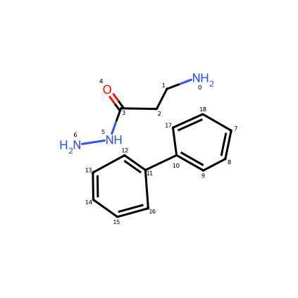 NCCC(=O)NN.c1ccc(-c2ccccc2)cc1